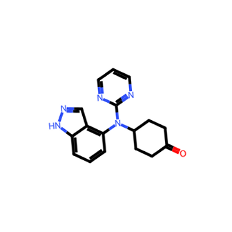 O=C1CCC(N(c2ncccn2)c2cccc3[nH]ncc23)CC1